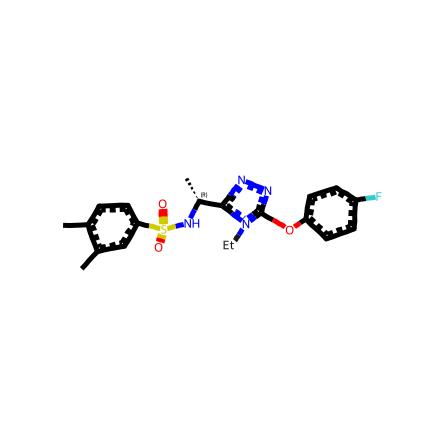 CCn1c(Oc2ccc(F)cc2)nnc1[C@@H](C)NS(=O)(=O)c1ccc(C)c(C)c1